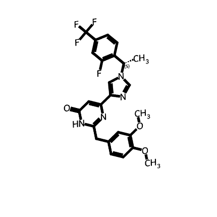 COc1ccc(Cc2nc(-c3cn([C@@H](C)c4ccc(C(F)(F)F)cc4F)cn3)cc(=O)[nH]2)cc1OC